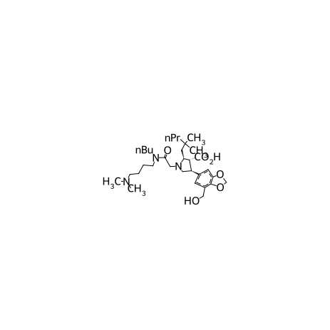 CCCCN(CCCCN(C)C)C(=O)CN1C[C@H](c2cc(CO)c3c(c2)OCO3)[C@@H](C(=O)O)[C@@H]1CC(C)(C)CCC